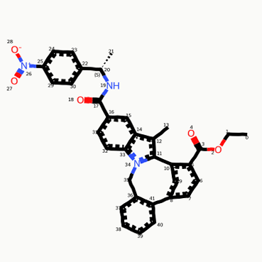 CCOC(=O)c1ccc2cc1-c1c(C)c3cc(C(=O)N[C@@H](C)c4ccc([N+](=O)[O-])cc4)ccc3n1Cc1ccccc1-2